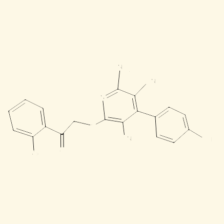 Cc1ccc(-c2c(C#N)c(N)nc(SCC(=O)c3ccccc3C(F)(F)F)c2C#N)cc1